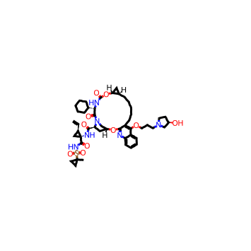 C=C[C@@H]1C[C@]1(NC(=O)[C@@H]1C[C@@H]2CN1C(=O)[C@H](C1CCCCC1)NC(=O)O[C@@H]1C[C@H]1CCCCCc1c(nc3ccccc3c1OCCCN1CC[C@@H](O)C1)O2)C(=O)NS(=O)(=O)C1(C)CC1